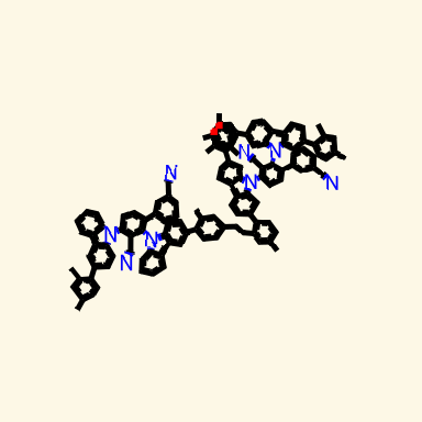 Cc1ccc(-c2ccc3c(c2)c2ccccc2n3-c2ccc(-c3cccc(C#N)c3)c(-n3c4ccccc4c4cc(-c5ccc(CCc6cc(C)ccc6-c6ccc7c8ccc(-c9ccc(C)cc9C)cc8n(-c8ccc(-c9cccc(C#N)c9)c(-n9c%10cc(-c%11ccc(C)cc%11C)ccc%10c%10ccc(-c%11ccc(C)cc%11C)cc%109)c8C#N)c7c6)cc5C)ccc43)c2C#N)c(C)c1